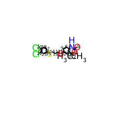 CC1(C)OC(=O)Nc2ccc(OCCCSc3ccc(Cl)c(Cl)c3)cc21